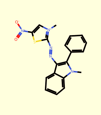 Cn1c(-c2ccccc2)c(N=Nc2sc([N+](=O)[O-])c[n+]2C)c2ccccc21